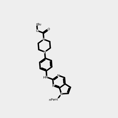 CCCCCn1ccc2cnc(Nc3ccc(N4CCN(C(=O)OC(C)(C)C)CC4)cc3)nc21